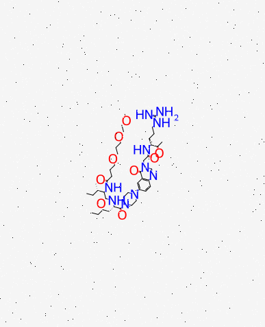 CCCC[C@H](NC(=O)[C@@H](NC(=O)CCCOCCCOCCOC)[C@@H](C)CC)C(=O)N1CCN(c2ccc3ncn(CC(=O)N[C@@H](CCCNC(=N)N)C(C)=O)c(=O)c3c2)CC1